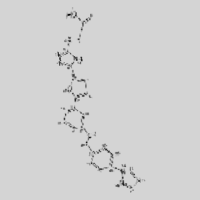 C=C(O)CSc1nnc(-c2ccc(-c3cccc(OCc4ccc(-n5cncn5)cc4)c3)o2)[nH]1